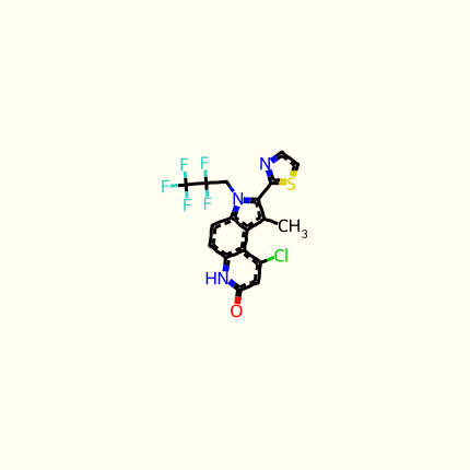 Cc1c(-c2nccs2)n(CC(F)(F)C(F)(F)F)c2ccc3[nH]c(=O)cc(Cl)c3c12